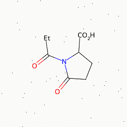 CCC(=O)N1C(=O)CCC1C(=O)O